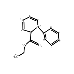 CCOC(=O)C1C=NC=CN1c1ccccc1